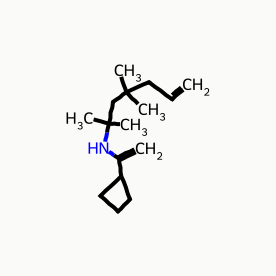 C=CCC(C)(C)CC(C)(C)NC(=C)C1CCC1